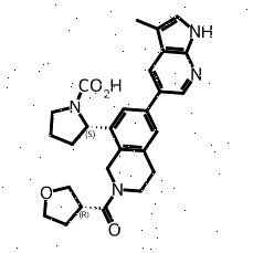 Cc1c[nH]c2ncc(-c3cc4c(c([C@@H]5CCCN5C(=O)O)c3)CN(C(=O)[C@@H]3CCOC3)CC4)cc12